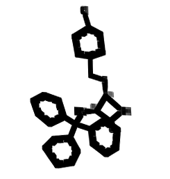 O=C1N[C@H](SCc2ccc(Cl)cc2)[C@@H]1NC(c1ccccc1)(c1ccccc1)c1ccccc1